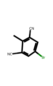 Cc1c(C#N)cc(Br)cc1C#N